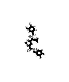 Cc1cc(CNC(=O)c2cc(C(NCc3ccc(F)c(C)c3)=C3CC3)ncn2)ccc1F